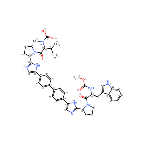 COC(=O)N[C@@H](Cc1c[nH]c2ccccc12)C(=O)N1CCCC1c1ncc(-c2ccc(-c3ccc(-c4cnc([C@@H]5CCCN5C(=O)[C@H](C(C)C)N(C)C(=O)O)[nH]4)cc3)cc2)[nH]1